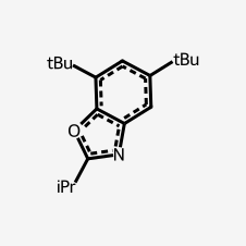 CC(C)c1nc2cc(C(C)(C)C)cc(C(C)(C)C)c2o1